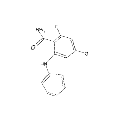 NC(=O)c1c(F)cc(Cl)cc1Nc1ccccc1